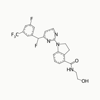 O=C(NCCO)c1cccc2c1CCN2c1nccc(C(F)c2cc(F)cc(C(F)(F)F)c2)n1